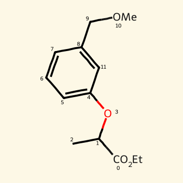 CCOC(=O)C(C)Oc1cccc(COC)c1